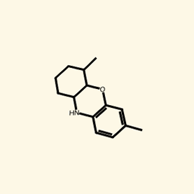 Cc1ccc2c(c1)OC1C(C)CCCC1N2